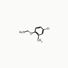 CC(=O)OCOc1ccc(Cl)cc1C